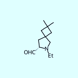 CCN1CC2(C[C@H]1C=O)CC(C)(C)C2